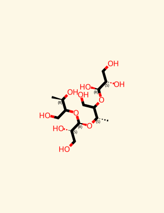 C[C@H](O[C@H](OC(CO)[C@@H](C)O)[C@@H](O)CO)C(CO)O[C@@H](O)[C@@H](O)CO